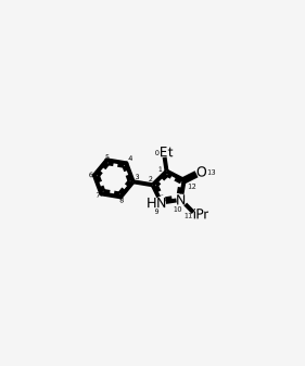 CCc1c(-c2ccccc2)[nH]n(C(C)C)c1=O